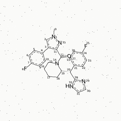 Cn1cc(-c2ccc(F)cc2)c(C(=O)N2CCCCC2[C@H](c2ccc(F)cc2)c2ncc[nH]2)n1